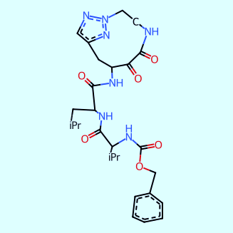 CC(C)CC(NC(=O)C(NC(=O)OCc1ccccc1)C(C)C)C(=O)NC1Cc2cnn(n2)CCNC(=O)C1=O